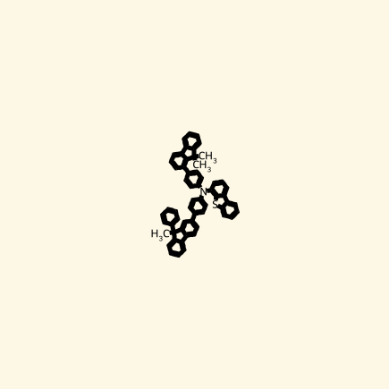 CC1(C)c2ccccc2-c2cccc(-c3ccc(N(c4ccc(-c5ccc6c(c5)C(C)(c5ccccc5)c5ccccc5-6)cc4)c4cccc5c4sc4ccccc45)cc3)c21